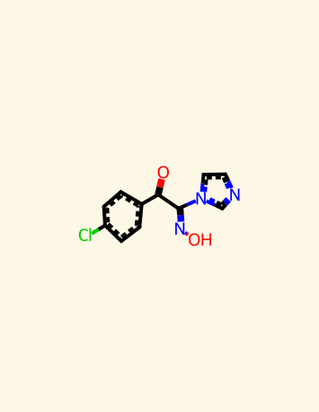 O=C(C(=NO)n1ccnc1)c1ccc(Cl)cc1